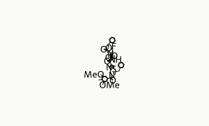 COc1cc(C(=O)N(CCCc2ccccc2)Cc2nc(C(=O)NS(=O)(=O)N(CCF)CC(=O)OCc3ccccc3)cs2)cc(OC)c1C